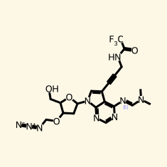 CN(C)/C=N/c1ncnc2c1c(C#CCNC(=O)C(F)(F)F)cn2C1CC(OCN=[N+]=[N-])C(CO)O1